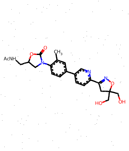 CC(=O)NCC1CN(c2ccc(-c3ccc(C4=NOC(CO)(CO)C4)nc3)cc2C)C(=O)O1